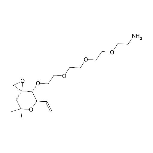 C=C[C@H]1OC(C)(C)C[C@@]2(CO2)[C@@H]1OCCOCCOCCOCCN